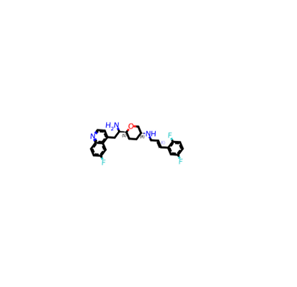 NC(Cc1ccnc2ccc(F)cc12)[C@@H]1CC[C@@H](NC/C=C/c2cc(F)ccc2F)CO1